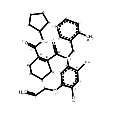 C=CCOc1cc(N(Cc2cnccc2C)C(=O)C2=C(C(=O)OC3CCCC3)CCCC2)c(F)cc1Cl